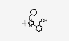 CC(C)(C)c1nc(-c2ccccc2CO)cn1CC1CCCCC1